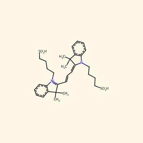 CC1(C)C(=CC=CC2=[N+](CCCCS(=O)(=O)O)c3ccccc3C2(C)C)N(CCCCS(=O)(=O)O)c2ccccc21